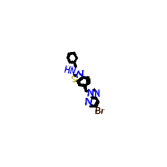 Brc1cnc2c(c1)ncn2Cc1ccc2nc(NCC3CCCCC3)sc2c1